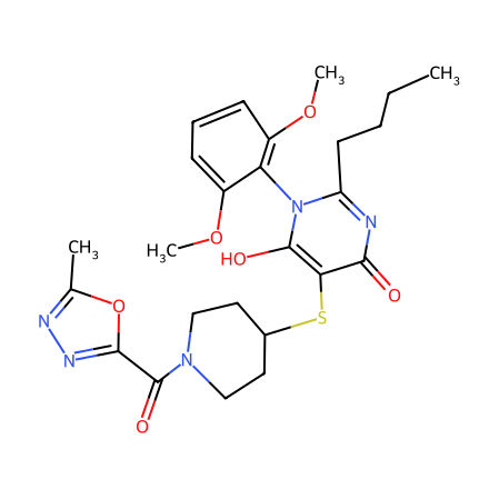 CCCCc1nc(=O)c(SC2CCN(C(=O)c3nnc(C)o3)CC2)c(O)n1-c1c(OC)cccc1OC